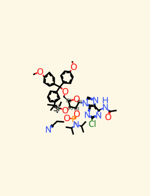 COc1ccc(C(OC[C@H]2O[C@@H](n3cnc4c(NC(C)=O)nc(Cl)nc43)[C@H](OP(OCCC#N)N(C(C)C)C(C)C)[C@@H]2O[Si](C)(C)C(C)(C)C)(c2ccccc2)c2ccc(OC)cc2)cc1